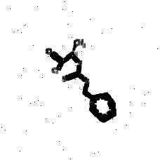 C[C@H](SC(=S)SCc1ccccc1)C(=O)Cl